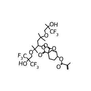 C=C(C)C(=O)OC1CCC2(C(=O)OC(CC(C)(C)OCC(C)(O)C(F)(F)F)C(C)(C)OCC(O)(C(F)(F)F)C(F)(F)F)CC1OC2=O